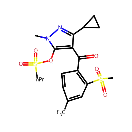 CCCS(=O)(=O)Oc1c(C(=O)c2ccc(C(F)(F)F)cc2S(C)(=O)=O)c(C2CC2)nn1C